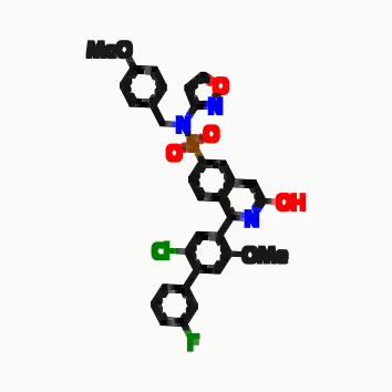 COc1ccc(CN(c2ccon2)S(=O)(=O)c2ccc3c(-c4cc(Cl)c(-c5cccc(F)c5)cc4OC)nc(O)cc3c2)cc1